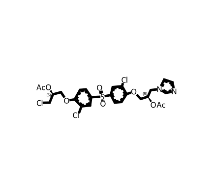 CC(=O)O[C@H](CCl)COc1ccc(S(=O)(=O)c2ccc(OC[C@@H](Cn3ccnc3)OC(C)=O)c(Cl)c2)cc1Cl